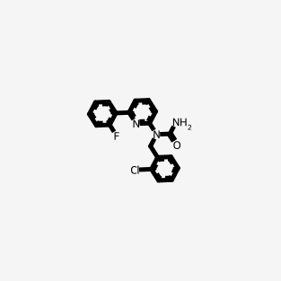 NC(=O)N(Cc1ccccc1Cl)c1cccc(-c2ccccc2F)n1